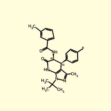 Cc1cccc(C(=O)N[C@@H]2C(=O)Nc3c(c(C)nn3C(C)(C)C)[C@@H]2c2ccc(F)cc2)c1